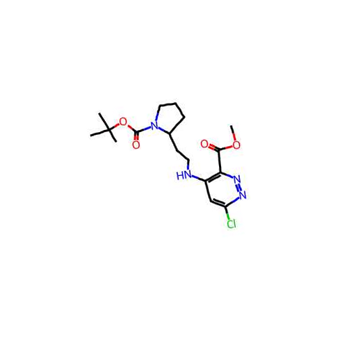 COC(=O)c1nnc(Cl)cc1NCCC1CCCN1C(=O)OC(C)(C)C